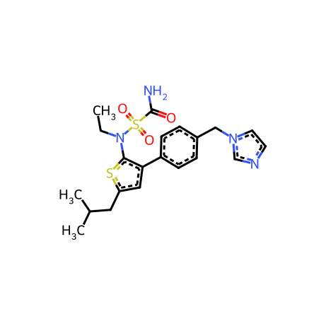 CCN(c1sc(CC(C)C)cc1-c1ccc(Cn2ccnc2)cc1)S(=O)(=O)C(N)=O